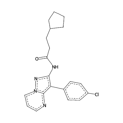 O=C(CCC1CCCC1)Nc1nn2cccnc2c1-c1ccc(Cl)cc1